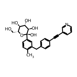 Cc1ccc([C@]2(O)O[C@H](CO)[C@@H](O)[C@H](O)[C@H]2O)cc1Cc1ccc(C#Cc2cccnc2)cc1